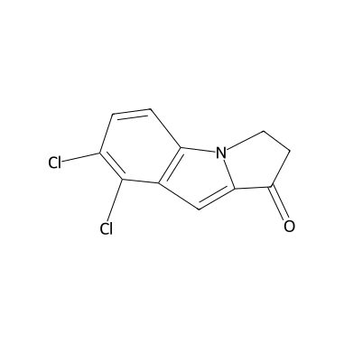 O=C1CCn2c1cc1c(Cl)c(Cl)ccc12